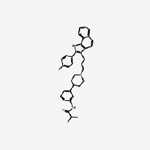 CC(C)C(=O)Nc1cccc(C2CCN(CCCc3c(-c4ccc(I)cc4)[nH]c4c3ccc3ccccc34)CC2)c1